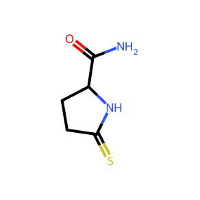 NC(=O)C1CCC(=S)N1